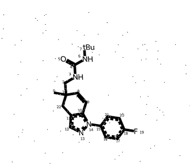 CC1(CNC(=O)NC(C)(C)C)C=Cc2c(cnn2-c2ccc(F)cc2)C1